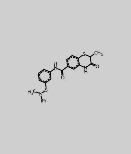 CC1Sc2ccc(C(=O)Nc3cccc(SN(C)C(C)C)c3)cc2NC1=O